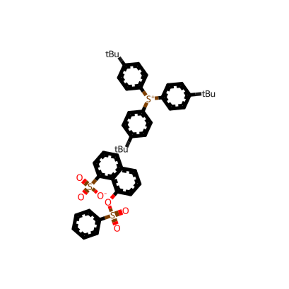 CC(C)(C)c1ccc([S+](c2ccc(C(C)(C)C)cc2)c2ccc(C(C)(C)C)cc2)cc1.O=S(=O)([O-])c1cccc2cccc(OS(=O)(=O)c3ccccc3)c12